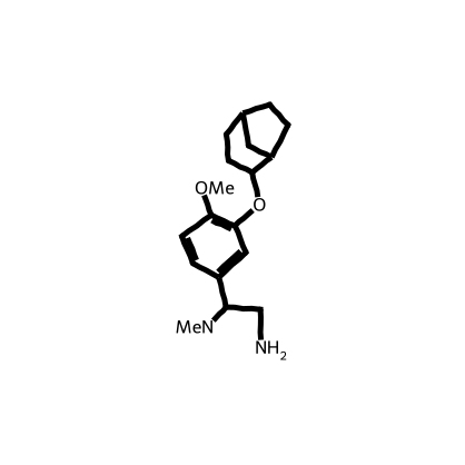 CNC(CN)c1ccc(OC)c(OC2CCC3CCC2C3)c1